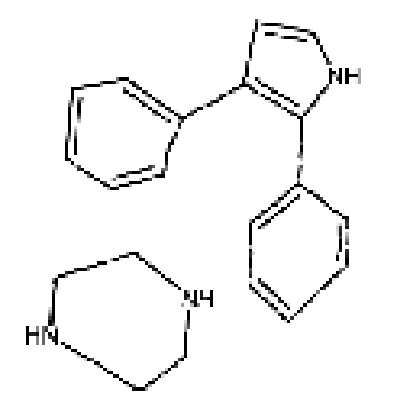 C1CNCCN1.c1ccc(-c2cc[nH]c2-c2ccccc2)cc1